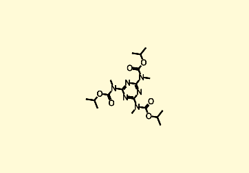 CC(C)OC(=O)N(C)c1nc(N(C)C(=O)OC(C)C)nc(N(C)C(=O)OC(C)C)n1